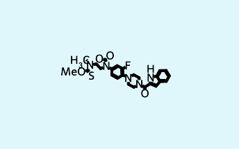 COC(=S)N(C)C1CN(c2ccc(N3CCN(C(=O)c4cc5ccccc5[nH]4)CC3)c(F)c2)C(=O)O1